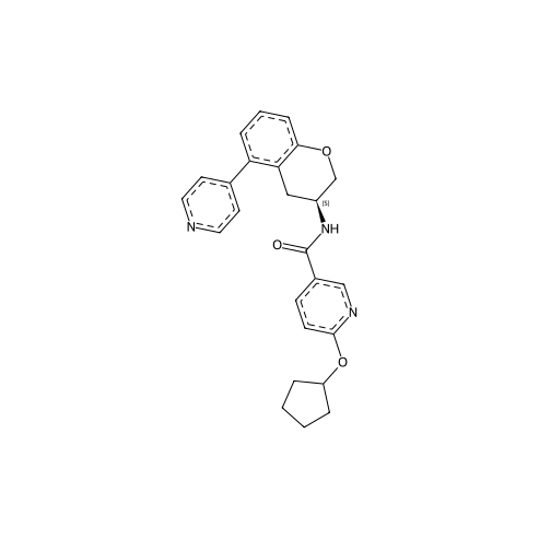 O=C(N[C@@H]1COc2cccc(-c3ccncc3)c2C1)c1ccc(OC2CCCC2)nc1